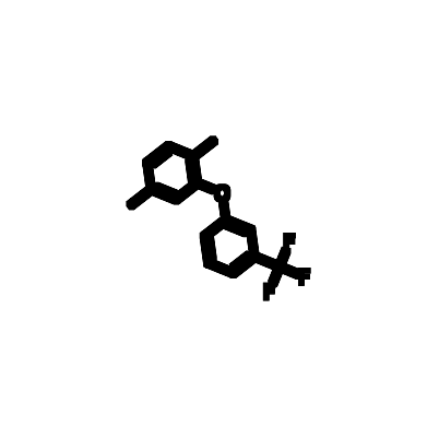 Cc1ccc(C)c(Oc2cccc(C(F)(F)F)c2)c1